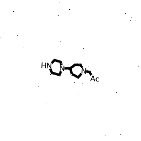 CC(=O)CN1CCC(N2CCNCC2)CC1